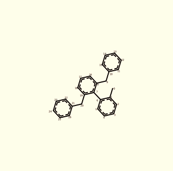 Cc1ccccc1-c1c(Cc2ccccc2)cccc1Cc1ccccc1